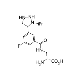 CC(C)N1NNCC1c1cc(F)cc(C(=O)NC[C@@H](N)C(=O)O)c1